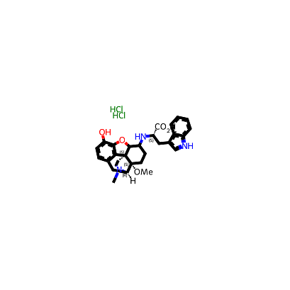 CO[C@@]12CCC(N[C@@H](Cc3c[nH]c4ccccc34)C(=O)O)C3Oc4c(O)ccc5c4[C@@]31CCN(C)[C@@H]2C5.Cl.Cl